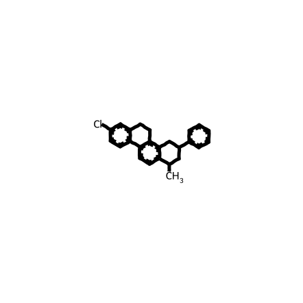 CC1CC(c2ccccc2)Cc2c1ccc1c2CCc2cc(Cl)ccc2-1